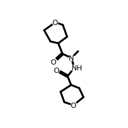 CN(NC(=O)C1CCOCC1)C(=O)C1CCOCC1